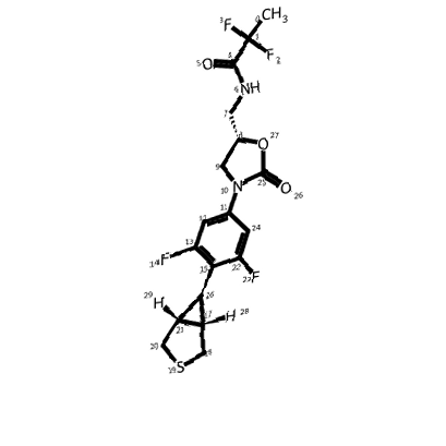 CC(F)(F)C(=O)NC[C@H]1CN(c2cc(F)c([C@H]3[C@@H]4CSC[C@@H]43)c(F)c2)C(=O)O1